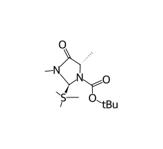 C[C@H]1C(=O)N(C)[C@H](S(C)(C)C)N1C(=O)OC(C)(C)C